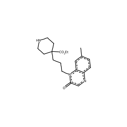 CCOC(=O)C1(CCCn2c(=O)cnc3ccc(C)cc32)CCNCC1